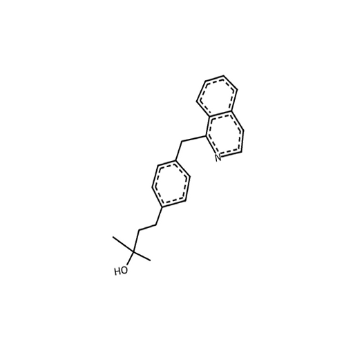 CC(C)(O)CCc1ccc(Cc2nccc3ccccc23)cc1